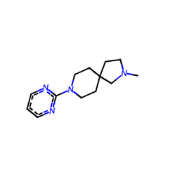 CN1CCC2(CCN(c3ncccn3)CC2)C1